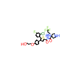 O=C(NC(=O)C1(NCCC(F)(F)F)CCNCC1)c1cc(-c2ccc(OCCCO)cc2)c(-c2ccc(F)cc2Cl)s1